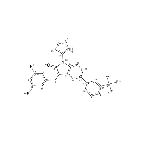 O=C1C(Cc2cc(F)cc(F)c2)c2cc(-c3cccc(C(F)(F)F)c3)ccc2N1c1ncn[nH]1